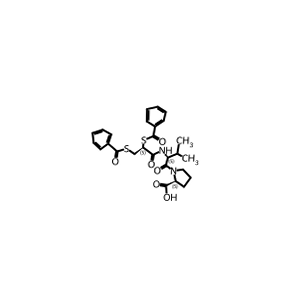 CC(C)[C@H](NC(=O)[C@@H](CSC(=O)c1ccccc1)SC(=O)c1ccccc1)C(=O)N1CCC[C@H]1C(=O)O